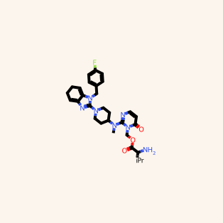 CC(C)C(N)C(=O)OCn1c(N(C)C2CCN(c3nc4c(n3Cc3ccc(F)cc3)=CCCC=4)CC2)nccc1=O